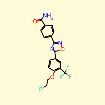 NC(=O)c1ccc(-c2noc(-c3ccc(OCCF)c(C(F)(F)F)c3)n2)cc1